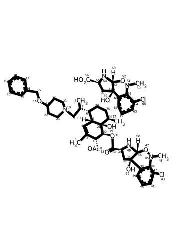 CC(=O)O[C@@H]1C(C)=C[C@@H]2[C@H](C(C)CN3CCC(OCc4ccccc4)CC3)CC[C@@H](C)[C@]2(O)[C@H]1OC(=O)[C@@H]1C[C@@]2(O)c3cccc(Cl)c3N(C)O[C@H]2N1.CN1O[C@H]2N[C@H](C(=O)O)C[C@@]2(O)c2cccc(Cl)c21